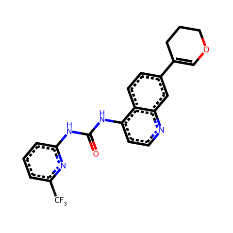 O=C(Nc1cccc(C(F)(F)F)n1)Nc1ccnc2cc(C3=COCCC3)ccc12